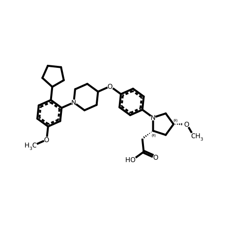 COc1ccc(C2CCCC2)c(N2CCC(Oc3ccc(N4C[C@H](OC)C[C@@H]4CC(=O)O)cc3)CC2)c1